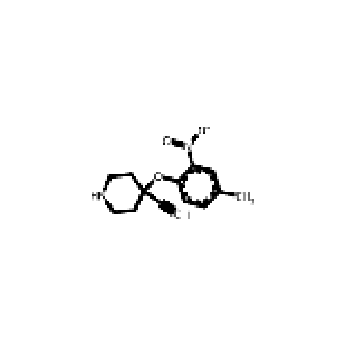 C#CC1(Oc2ccc(C)cc2[N+](=O)[O-])CCNCC1